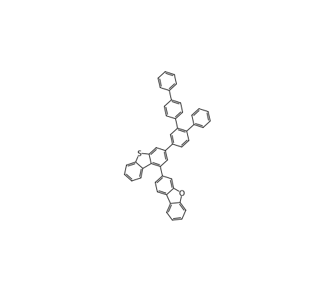 c1ccc(-c2ccc(-c3cc(-c4cc(-c5ccc6c(c5)oc5ccccc56)c5c(c4)sc4ccccc45)ccc3-c3ccccc3)cc2)cc1